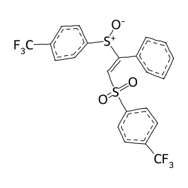 O=S(=O)(/C=C(\c1ccccc1)[S+]([O-])c1ccc(C(F)(F)F)cc1)c1ccc(C(F)(F)F)cc1